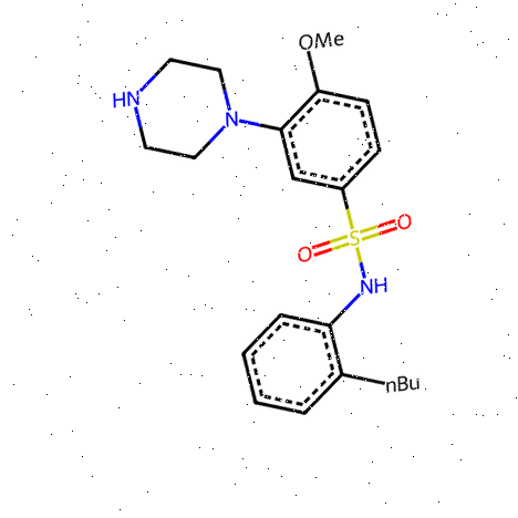 CCCCc1ccccc1NS(=O)(=O)c1ccc(OC)c(N2CCNCC2)c1